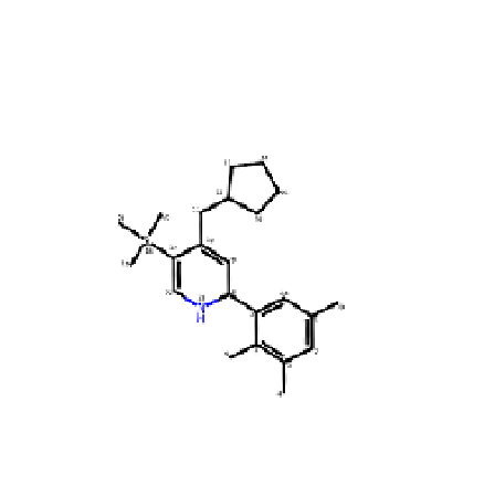 Cc1cc(C)c(C)c(C2C=C(CC3CCCC3)C([Si](C)(C)C)=CN2)c1